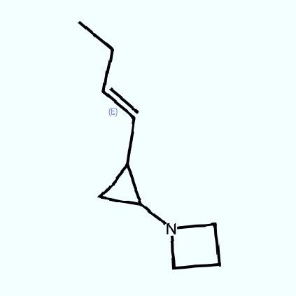 CC/C=C/C1CC1N1CCC1